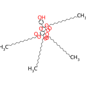 CCCCCCCCCCCCCCCC(=O)Oc1cc2oc(-c3ccc(O)cc3)c(OC(=O)CCCCCCCCCCCCCCC)c(=O)c2c(OC(=O)CCCCCCCCCCCCCCC)c1C(=O)CCCCCCCCCCCCCCC